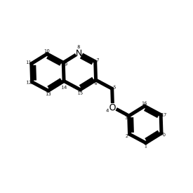 c1ccc(OCc2cnc3ccccc3c2)cc1